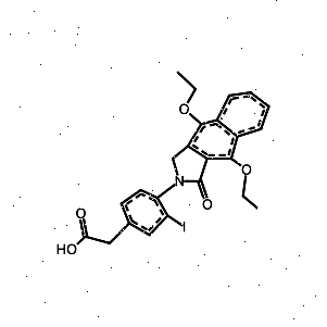 CCOc1c2c(c(OCC)c3ccccc13)C(=O)N(c1ccc(CC(=O)O)cc1I)C2